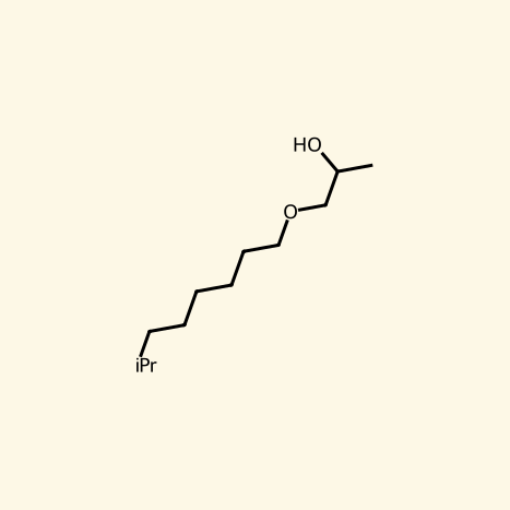 CC(C)CCCCCCOCC(C)O